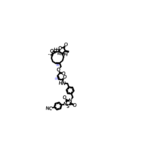 C=C1C(=O)O[C@H]2[C@H]1CC/C(COC(=O)/C=C\C(=O)NCc1ccc(Cn3c(=O)sn(-c4ccc(C#N)cc4)c3=O)cc1)=C\CC[C@@]1(C)O[C@@H]21